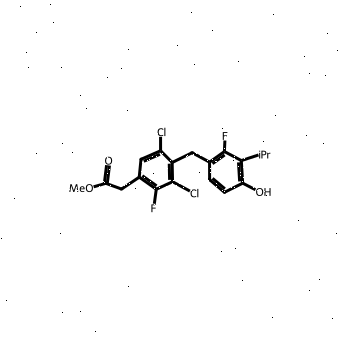 COC(=O)Cc1cc(Cl)c(Cc2ccc(O)c(C(C)C)c2F)c(Cl)c1F